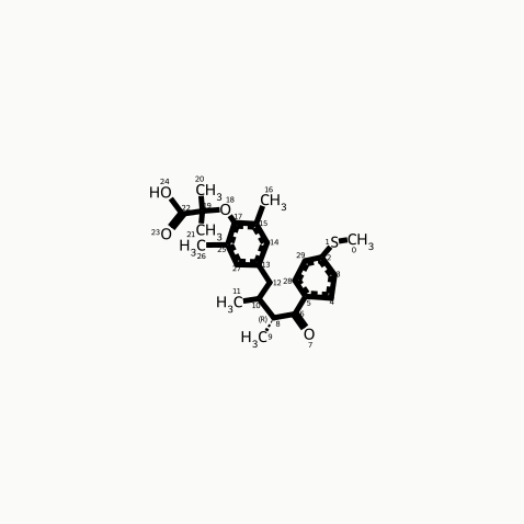 CSc1ccc(C(=O)[C@H](C)C(C)Cc2cc(C)c(OC(C)(C)C(=O)O)c(C)c2)cc1